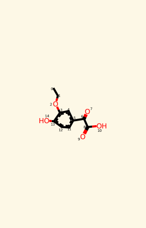 CCOc1cc(C(=O)C(=O)O)ccc1O